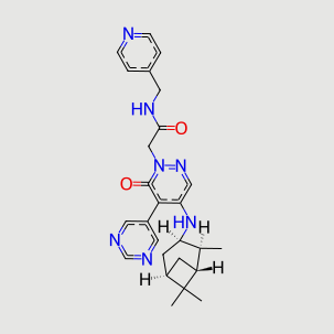 C[C@H]1[C@H]2C[C@H](C[C@H]1Nc1cnn(CC(=O)NCc3ccncc3)c(=O)c1-c1cncnc1)C2(C)C